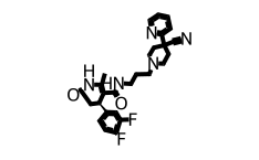 CC1=C(C(=O)NCCCN2CCC(C#N)(c3ccccn3)CC2)[C@@H](c2ccc(F)c(F)c2)CC(=O)N1